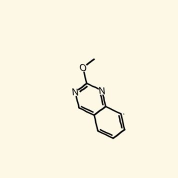 COc1ncc2ccc[c]c2n1